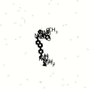 CN[C@@H](CC1(C)CC1)c1ncc(C2C=CC(c3ccc4cc(-c5cnc([C@@H]6CCCN6C(=O)[C@@H](NC(=O)OC)C6CCOCC6)[nH]5)ccc4c3)=CC2)[nH]1